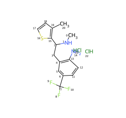 CNC(Cc1cc(C(F)(F)F)ccc1N)c1sccc1C.Cl.Cl